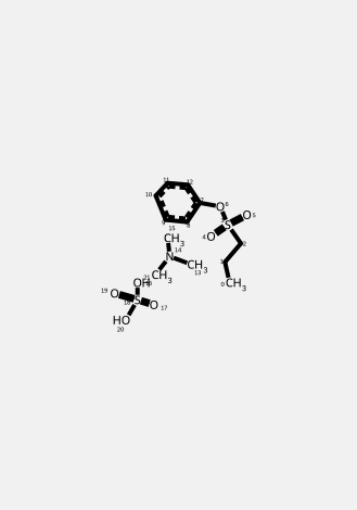 CCCS(=O)(=O)Oc1ccccc1.CN(C)C.O=S(=O)(O)O